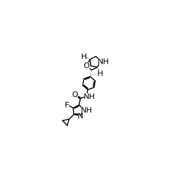 O=C(Nc1ccc([C@@H]2O[C@H]3CN[C@@H]2C3)cc1)c1[nH]nc(C2CC2)c1F